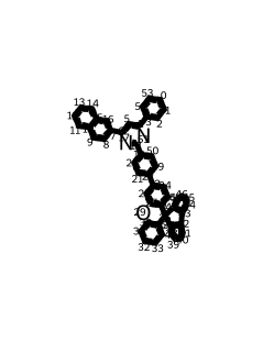 c1ccc(-c2cc(-c3ccc4ccccc4c3)nc(-c3ccc(-c4ccc5c(c4)Oc4ccccc4C54c5ccccc5-c5ccccc54)cc3)n2)cc1